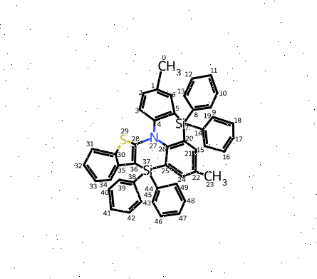 Cc1ccc2c(c1)[Si](c1ccccc1)(c1ccccc1)c1cc(C)cc3c1N2c1sc2ccccc2c1[Si]3(c1ccccc1)c1ccccc1